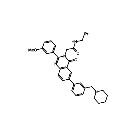 COc1cccc(-c2nc3ccc(-c4cccc(CN5CCCCC5)c4)cc3c(=O)n2CC(=O)NCC(C)C)c1